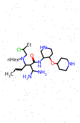 C/C=C/C(C(C(=O)NC1CNCCC1OC1CCNCC1)C(N)N)N(CCCCCC)CC(Cl)CC